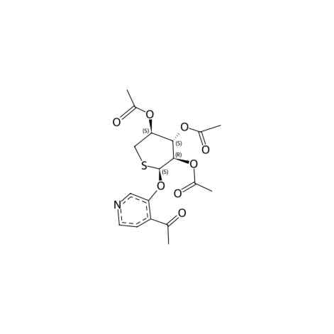 CC(=O)O[C@@H]1[C@@H](OC(C)=O)[C@@H](Oc2cnccc2C(C)=O)SC[C@H]1OC(C)=O